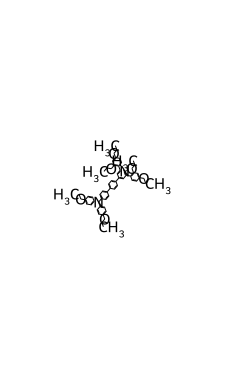 CCOc1ccc(N(c2ccc(OCC)cc2)c2ccc(-c3ccc(-c4cc(-c5ccc(OCC)cc5OCC)nc(-c5ccc(OCC)cc5OCC)c4)cc3)cc2)cc1